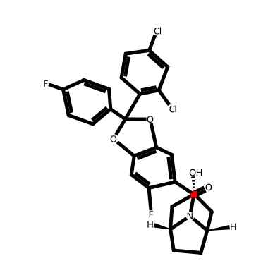 O=C(c1cc2c(cc1F)OC(c1ccc(F)cc1)(c1ccc(Cl)cc1Cl)O2)N1[C@@H]2CC[C@H]1C[C@@H](O)C2